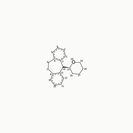 c1ccc2c(c1)CCc1ccccc1C2[C@@H]1CCCCO1